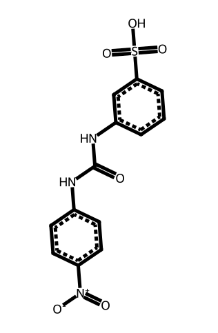 O=C(Nc1ccc([N+](=O)[O-])cc1)Nc1cccc(S(=O)(=O)O)c1